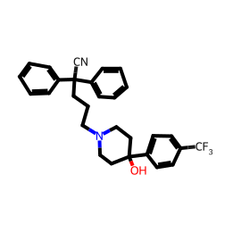 N#CC(CCCN1CCC(O)(c2ccc(C(F)(F)F)cc2)CC1)(c1ccccc1)c1ccccc1